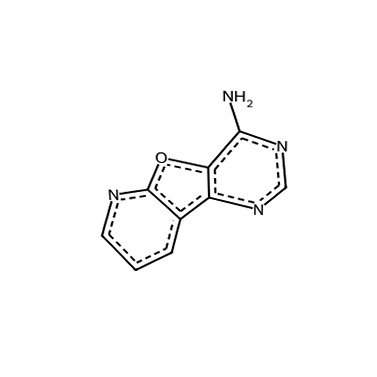 Nc1ncnc2c1oc1ncccc12